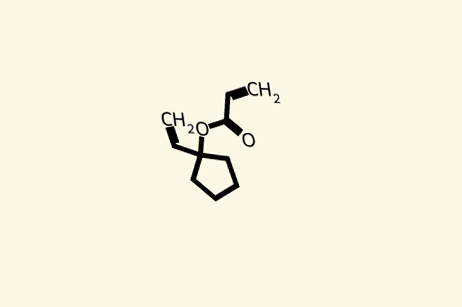 C=CC(=O)OC1(C=C)CCCC1